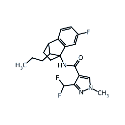 CCCC1C2CCC1(NC(=O)c1cn(C)nc1C(F)F)c1cc(F)ccc12